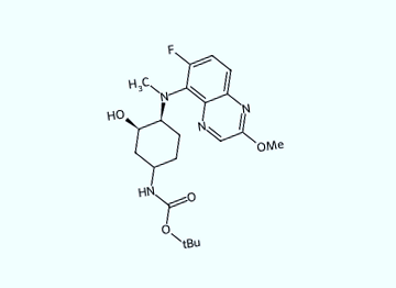 COc1cnc2c(N(C)[C@H]3CCC(NC(=O)OC(C)(C)C)C[C@H]3O)c(F)ccc2n1